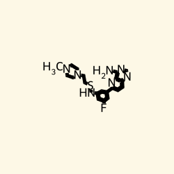 CN1CCN(CCSNc2cc(F)cc(-c3ccc4ncnc(N)c4n3)c2)CC1